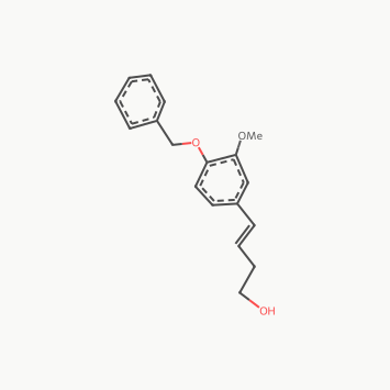 COc1cc(/C=C/CCO)ccc1OCc1ccccc1